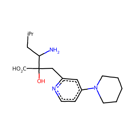 CC(C)CC(N)C(O)(Cc1cc(N2CCCCC2)ccn1)C(=O)O